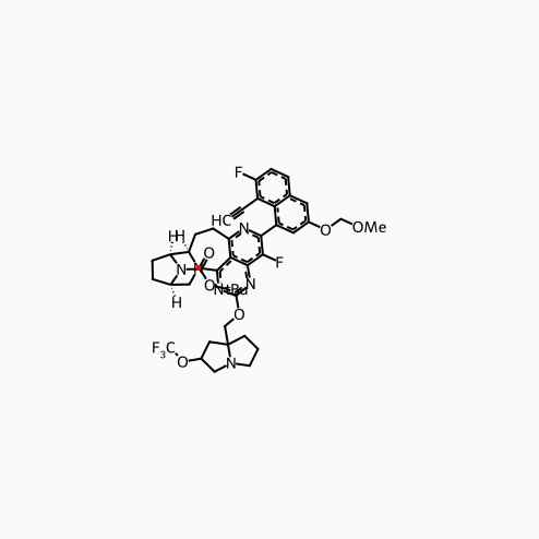 C#Cc1c(F)ccc2cc(OCOC)cc(-c3nc4c5c(nc(OCC67CCCN6CC(OC(F)(F)F)C7)nc5c3F)N3C[C@H]5CC[C@@H]([C@H]3CC4)N5C(=O)OC(C)(C)C)c12